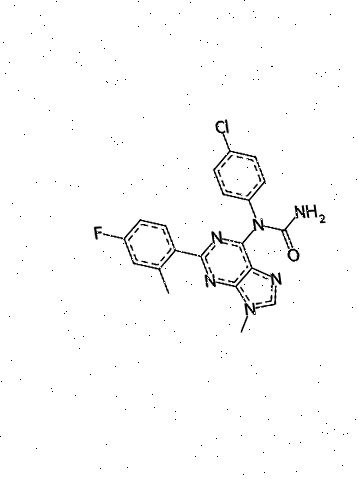 Cc1cc(F)ccc1-c1nc(N(C(N)=O)c2ccc(Cl)cc2)c2ncn(C)c2n1